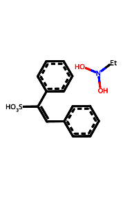 CCN(O)O.O=S(=O)(O)C(=Cc1ccccc1)c1ccccc1